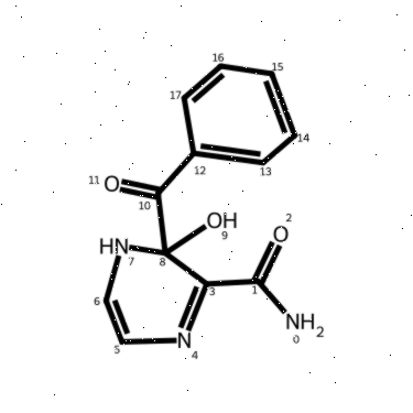 NC(=O)C1=NC=CNC1(O)C(=O)c1ccccc1